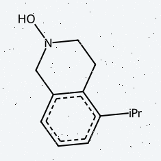 CC(C)c1cccc2c1CCN(O)C2